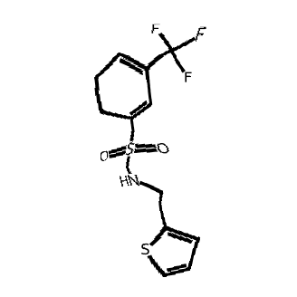 O=S(=O)(NCc1cccs1)C1=CC(C(F)(F)F)=CCC1